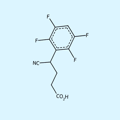 N#CC(CCC(=O)O)c1c(F)c(F)cc(F)c1F